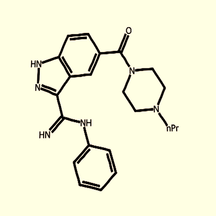 CCCN1CCN(C(=O)c2ccc3[nH]nc(C(=N)Nc4ccccc4)c3c2)CC1